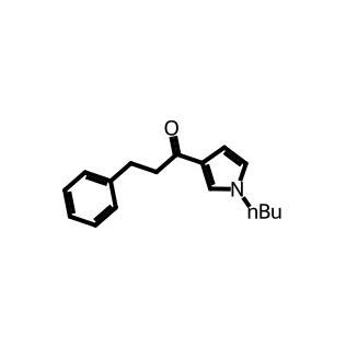 CCCCn1ccc(C(=O)CCc2ccccc2)c1